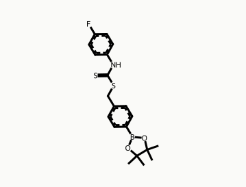 CC1(C)OB(c2ccc(CSC(=S)Nc3ccc(F)cc3)cc2)OC1(C)C